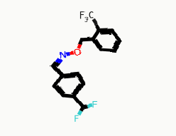 FC(F)c1ccc(/[C]=N\OCc2ccccc2C(F)(F)F)cc1